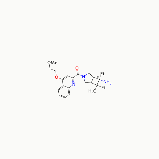 CCC1(C)C2CN(C(=O)c3cc(OCCOC)c4ccccc4n3)CC2[C@]1(N)CC